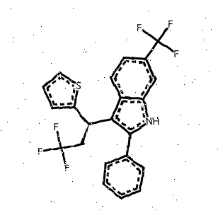 FC(F)(F)C[C@@H](c1cccs1)c1c(-c2ccccc2)[nH]c2cc(C(F)(F)F)ccc12